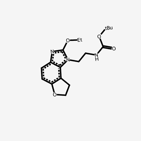 CCOc1nc2ccc3c(c2n1CCNC(=O)OC(C)(C)C)CCO3